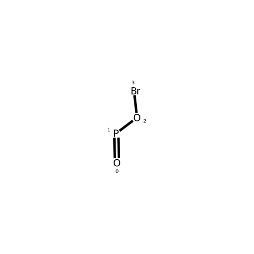 O=POBr